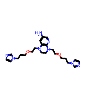 Nc1cnc2c(c1)N(CCOCCCn1ccnc1)CCN2CCOCCCn1ccnc1